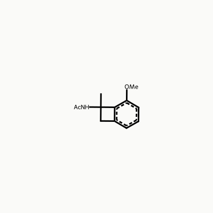 COc1cccc2c1C(C)(NC(C)=O)C2